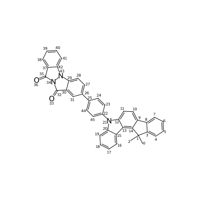 CC1(C)c2ccccc2-c2ccc3c(c21)c1ccccc1n3-c1ccc(-c2ccc3c(c2)c(=O)n2c(=O)c4ccccc4n32)cc1